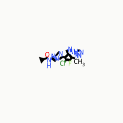 C[C@@H](c1c(F)c(Cl)c(-c2cn3cc(NC(=O)C4CC4)nc3cn2)c2cn[nH]c12)n1ncnn1